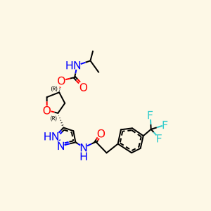 CC(C)NC(=O)O[C@H]1CO[C@@H](c2cc(NC(=O)Cc3ccc(C(F)(F)F)cc3)n[nH]2)C1